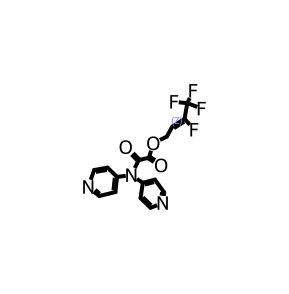 O=C(OC/C=C(\F)C(F)(F)F)C(=O)N(c1ccncc1)c1ccncc1